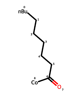 CCCCCCCCC[C](=O)[Co]